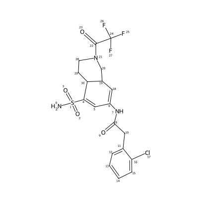 NS(=O)(=O)C1=CC(NC(=O)Cc2ccccc2Cl)=CC2CN(C(=O)C(F)(F)F)CCC12